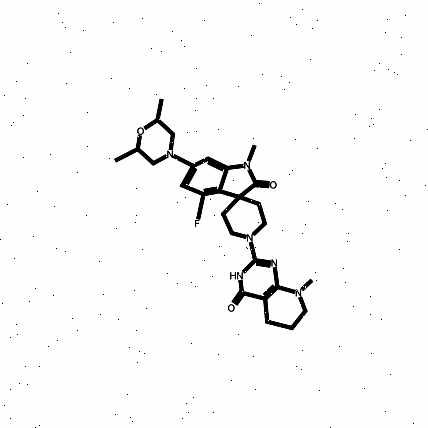 CC1CN(c2cc(F)c3c(c2)N(C)C(=O)C32CCN(c3nc4c(c(=O)[nH]3)CCCN4C)CC2)CC(C)O1